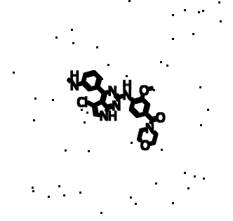 CNc1cccc(-c2nc(Nc3ccc(C(=O)N4CCOCC4)cc3OC)nc3[nH]cc(Cl)c23)c1